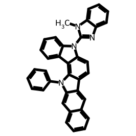 Cn1c(-n2c3ccccc3c3c2ccc2c4cc5ccccc5cc4n(-c4ccccc4)c23)nc2ccccc21